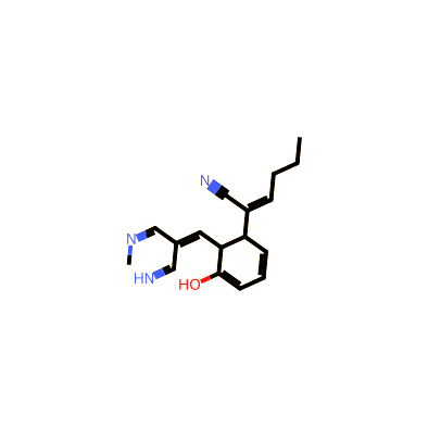 CCC/C=C(\C#N)C1C=CC=C(O)C1/C=C(C=N)/C=N\C